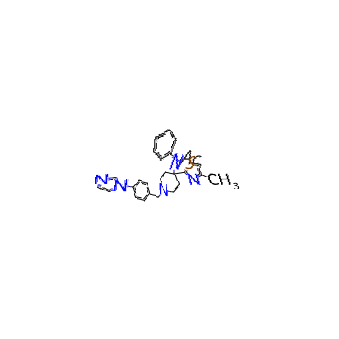 CC(=O)N(c1ccccc1)C1(c2nc(C)cs2)CCN(Cc2ccc(-n3ccnc3)cc2)CC1